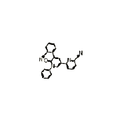 N#Cc1cccc(-c2cc(-c3ccccc3C#N)c(=O)n(-c3ccccc3)c2)n1